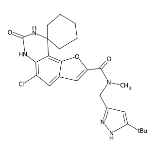 CN(Cc1cc(C(C)(C)C)[nH]n1)C(=O)c1cc2cc(Cl)c3c(c2o1)C1(CCCCC1)NC(=O)N3